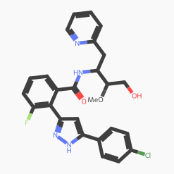 COC(CO)C(Cc1ccccn1)NC(=O)c1cccc(F)c1-c1cc(-c2ccc(Cl)cc2)[nH]n1